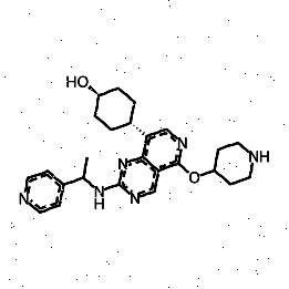 CC(Nc1ncc2c(OC3CCNCC3)ncc([C@H]3CC[C@H](O)CC3)c2n1)c1ccncc1